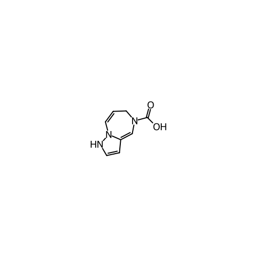 O=C(O)N1C=C2C=CNN2C=CC1